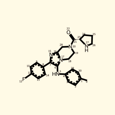 Cc1ccc(Nc2c(-c3ccc(F)cc3)nc3n2CCN(C(=O)[C@@H]2CCCN2)C3)cc1